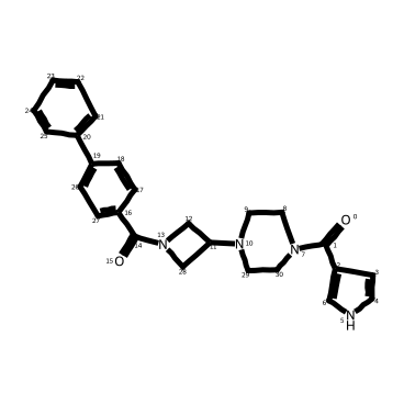 O=C(c1cc[nH]c1)N1CCN(C2CN(C(=O)c3ccc(-c4ccccc4)cc3)C2)CC1